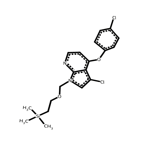 C[Si](C)(C)CCOCn1cc(Cl)c2c(Oc3ccc(Cl)cc3)ccnc21